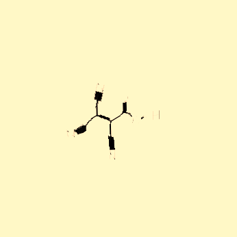 COC(=O)C(C#N)=C(C#N)C#N